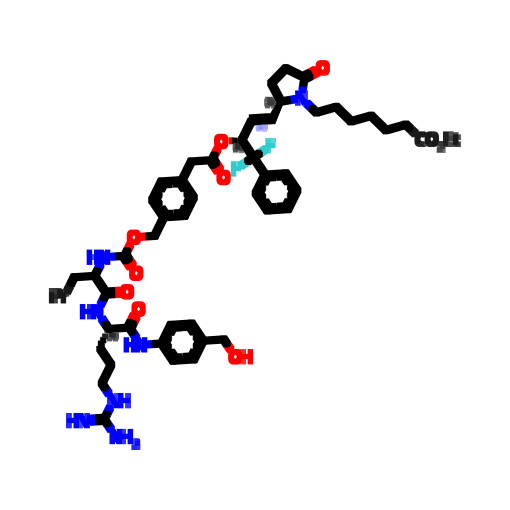 CCOC(=O)CCCCCCN1C(=O)CC[C@@H]1/C=C/[C@@H](OC(=O)Cc1ccc(COC(=O)NC(CC(C)C)C(=O)N[C@@H](CCCNC(=N)N)C(=O)Nc2ccc(CO)cc2)cc1)C(F)(F)c1ccccc1